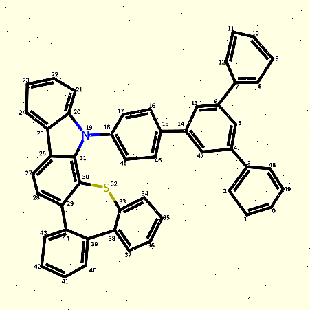 c1ccc(-c2cc(-c3ccccc3)cc(-c3ccc(-n4c5ccccc5c5ccc6c(c54)Sc4ccccc4-c4ccccc4-6)cc3)c2)cc1